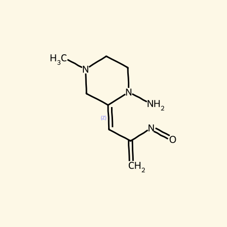 C=C(/C=C1/CN(C)CCN1N)N=O